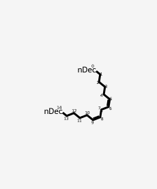 CCCCCCCCCCCCCC/C=C\[C]/C=C\CCCCCCCCCCCCCC